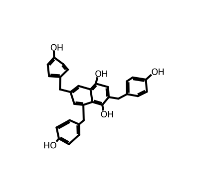 Oc1ccc(Cc2cc(Cc3ccc(O)cc3)c3c(O)c(Cc4ccc(O)cc4)cc(O)c3c2)cc1